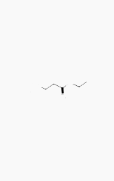 CCOC(=O)C[CH2][Sn]=[S]